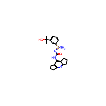 CC(C)(O)c1cccc(/S(N)=N/C(=O)Nc2c3c(nc4c2CCC4)CCC3)c1